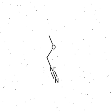 COC[N+]#N